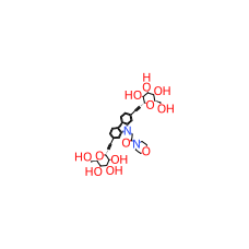 O=C(Cn1c2cc(C#C[C@H]3O[C@H](CO)[C@@H](O)[C@H](O)[C@@H]3O)ccc2c2ccc(C#C[C@H]3O[C@H](CO)[C@@H](O)[C@H](O)[C@@H]3O)cc21)N1CCOCC1